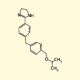 CC(C)OCc1ccc(Cc2ccc(C3=NCCN3)cc2)cc1